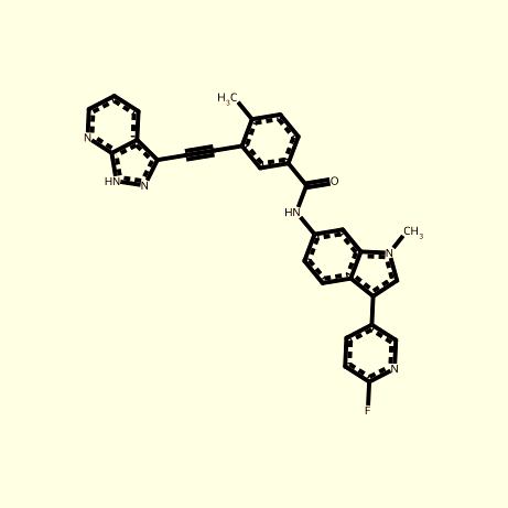 Cc1ccc(C(=O)Nc2ccc3c(-c4ccc(F)nc4)cn(C)c3c2)cc1C#Cc1n[nH]c2ncccc12